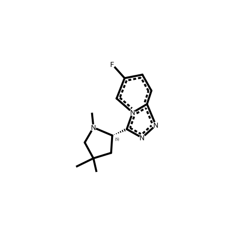 CN1CC(C)(C)C[C@H]1c1nnc2ccc(F)cn12